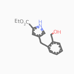 CCOC(=O)c1cc(Cc2ccccc2CO)c[nH]1